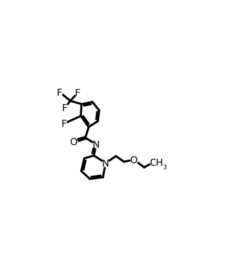 CCOCCn1cccc/c1=N\C(=O)c1cccc(C(F)(F)F)c1F